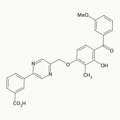 COc1cccc(C(=O)c2ccc(OCc3cnc(-c4cccc(C(=O)O)c4)cn3)c(C)c2O)c1